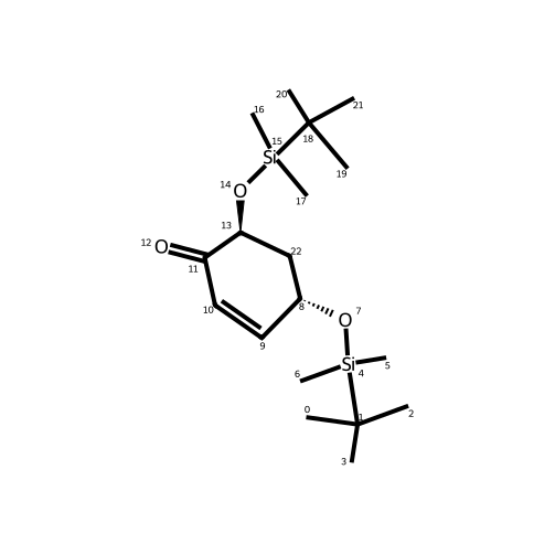 CC(C)(C)[Si](C)(C)O[C@@H]1C=CC(=O)[C@@H](O[Si](C)(C)C(C)(C)C)C1